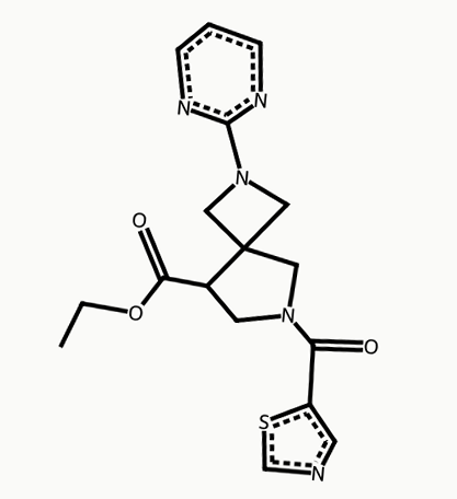 CCOC(=O)C1CN(C(=O)c2cncs2)CC12CN(c1ncccn1)C2